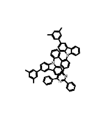 Cc1cc(C)cc(-c2ccc3c(c2)c2ccccc2n3-c2ccccc2-c2cc(-c3cc(-c4ccccc4)nc(-c4ccccc4)n3)ccc2-n2c3ccccc3c3cc(-c4cc(C)cc(C)c4)ccc32)c1